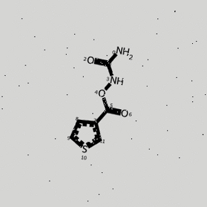 NC(=O)NOC(=O)c1ccsc1